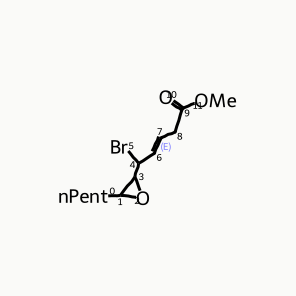 CCCCCC1OC1C(Br)/C=C/CC(=O)OC